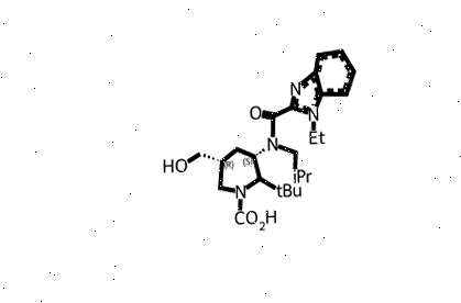 CCn1c(C(=O)N(CC(C)C)[C@H]2C[C@@H](CO)CN(C(=O)O)C2C(C)(C)C)nc2ccccc21